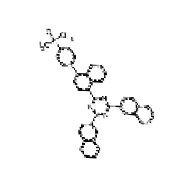 CP(C)(=O)c1ccc(-c2ccc(-c3nc(-c4ccc5ccccc5c4)nc(-c4ccc5ccccc5c4)n3)c3ccccc23)cc1